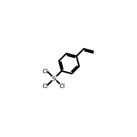 C=Cc1ccc([Si](Cl)(Cl)Cl)cc1